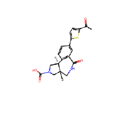 CC(=O)c1ccc(-c2ccc3c(c2)C(=O)NC[C@@H]2CN(C(=O)O)C[C@@H]32)s1